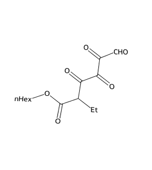 CCCCCCOC(=O)C(CC)C(=O)C(=O)C(=O)C=O